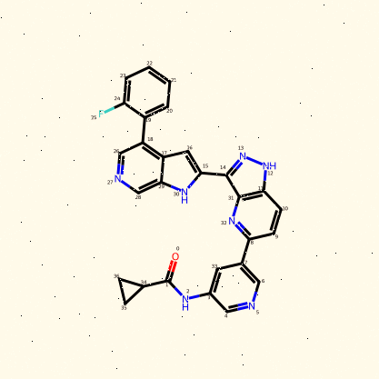 O=C(Nc1cncc(-c2ccc3[nH]nc(-c4cc5c(-c6ccccc6F)cncc5[nH]4)c3n2)c1)C1CC1